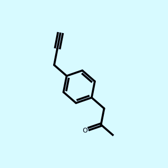 C#CCc1ccc(CC(C)=O)cc1